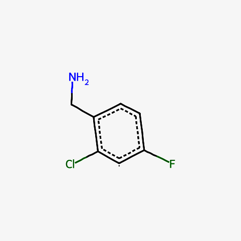 NCc1ccc(F)[c]c1Cl